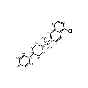 O=S(=O)(c1ccc2c(Cl)cccc2c1)N1CCC(C2C=CCC=C2)CC1